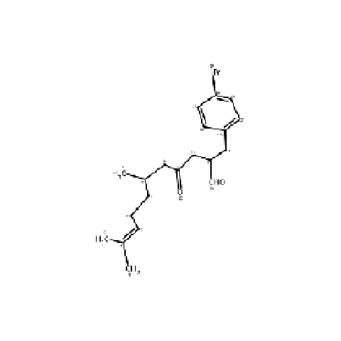 CC(C)=CCCC(C)CC(=O)CC(C=O)Cc1ccc(C(C)C)cc1